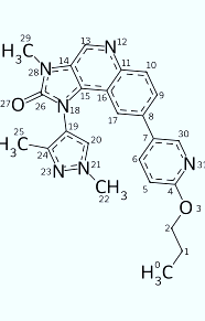 CCCOc1ccc(-c2ccc3ncc4c(c3c2)n(-c2cn(C)nc2C)c(=O)n4C)cn1